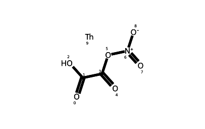 O=C(O)C(=O)O[N+](=O)[O-].[Th]